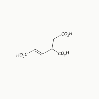 O=C(O)C=CC(CC(=O)O)C(=O)O